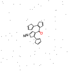 O=C(C1=C(C2=CC=CC2)CC=C1)C1=C(C2=CC=CC2)CC=C1.[Ni].[Ni]